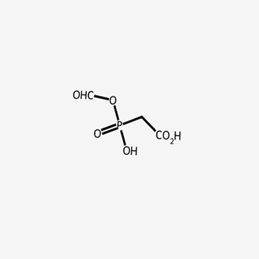 O=COP(=O)(O)CC(=O)O